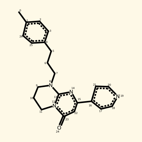 Cc1ccc(CCCN2CCCn3c2nc(-c2ccncc2)cc3=O)cc1